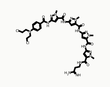 Cn1nc(NC(=O)c2cc(NC(=O)c3cc(NC(=O)c4cc(NC(=O)c5ccc(N(CCCl)CCCl)cc5)nn4C)nn3C)nn2C)cc1C(=O)NCCC(=N)N